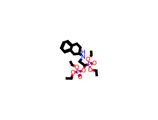 CCOP(=O)(OCC)OC(CNC1CCc2ccccc2C1)P(=O)(OCC)OCC